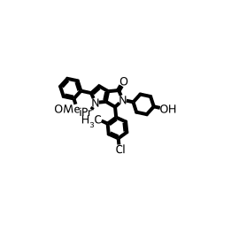 COc1ccccc1-c1cc2c(n1C(C)C)C(c1ccc(Cl)cc1C)N(C1CCC(O)CC1)C2=O